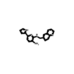 Nc1ccc(-c2ccc[nH]2)nc1NCc1ccc2ncccc2c1